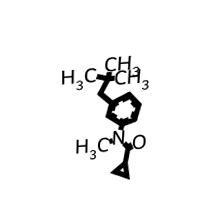 CN(C(=O)C1CC1)c1cccc(CC(C)(C)C)c1